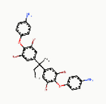 CCC(C)(c1cc(Br)c(Oc2ccc(N)cc2)c(Br)c1)c1cc(Br)c(Oc2ccc(N)cc2)c(Br)c1